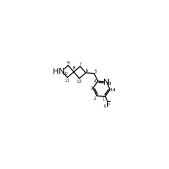 Fc1ccc(CC2CC3(CNC3)C2)nc1